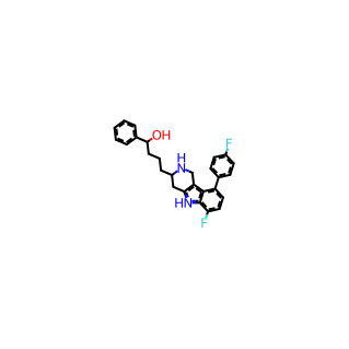 OC(CCCC1Cc2[nH]c3c(F)ccc(-c4ccc(F)cc4)c3c2CN1)c1ccccc1